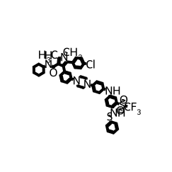 Cc1c(C(=O)NC2CCCCC2)c(-c2cccc(N3CCN(C4=CCC(Nc5ccc(NSc6ccccc6)c(S(=O)(=O)C(F)(F)F)c5)C=C4)CC3)c2)c(-c2ccc(Cl)cc2)n1C